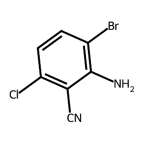 N#Cc1c(Cl)ccc(Br)c1N